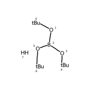 CC(C)(C)OB(OC(C)(C)C)OC(C)(C)C.[HH]